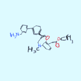 COC(=O)Cc1cccc2c1O[C@H](c1cccc(-c3cccc(CN)c3)c1)CN2C